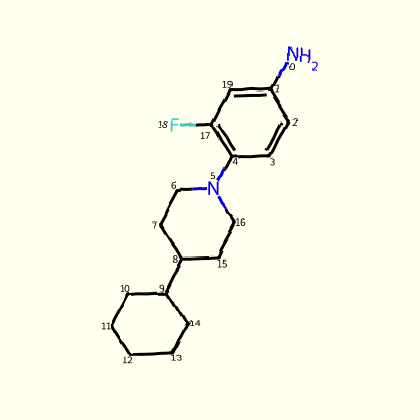 Nc1ccc(N2CCC(C3CCCCC3)CC2)c(F)c1